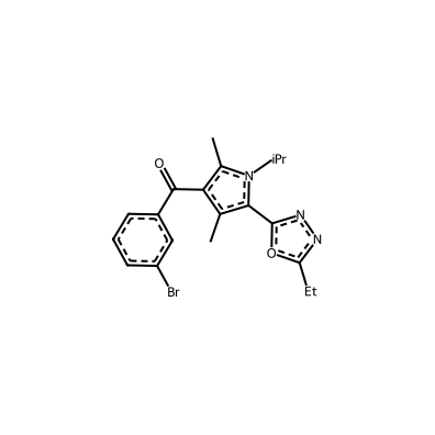 CCc1nnc(-c2c(C)c(C(=O)c3cccc(Br)c3)c(C)n2C(C)C)o1